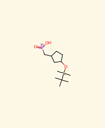 CC(C)(C)[Si](C)(C)OC1CCC(C[PH](=O)O)C1